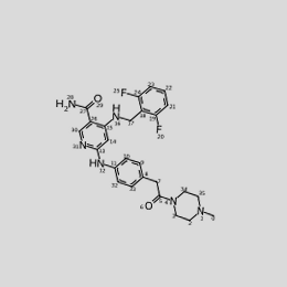 CN1CCN(C(=O)Cc2ccc(Nc3cc(NCc4c(F)cccc4F)c(C(N)=O)cn3)cc2)CC1